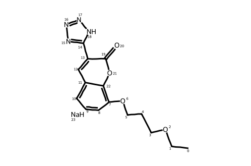 CCOCCCOc1cccc2cc(-c3nnn[nH]3)c(=O)oc12.[NaH]